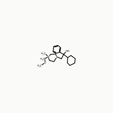 CO[SiH2][N+]1(C)CCN(CC(O)(c2ccccc2)C2CCCCC2)CC1